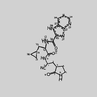 N#CC(CC1CCNC1=O)NC(=O)C(CC1CC1)NC(=O)c1nc2ncccc2[nH]1